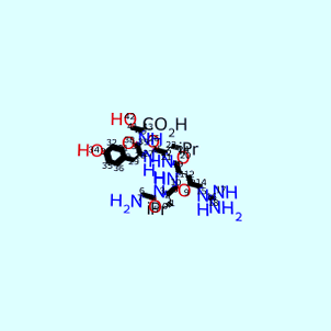 CC(C)C[C@H](NC(=O)CN)C(=O)N[C@@H](CCCNC(=N)N)C(=O)N[C@@H](CC(C)C)C(=O)N[C@@H](Cc1ccc(O)cc1)C(=O)N[C@@H](CO)C(=O)O